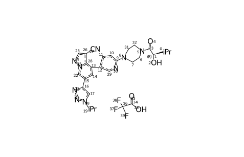 CC(C)[C@@H](O)C(=O)N1CCN(c2ccc(-c3cc(-c4cn(C(C)C)nn4)cn4ncc(C#N)c34)cn2)CC1.O=C(O)C(F)(F)F